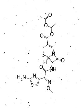 CON=C(C(=O)NC1C(=O)N2C=C(C(=O)OC(C)OC(C)=O)CS[C@H]12)c1csc(N)n1